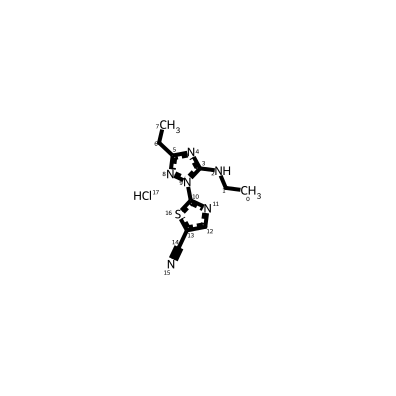 CCNc1nc(CC)nn1-c1ncc(C#N)s1.Cl